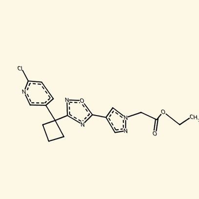 CCOC(=O)Cn1cc(-c2nc(C3(c4ccc(Cl)nc4)CCC3)no2)cn1